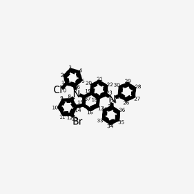 Clc1ccccc1N1c2cccc(Br)c2C2C=Cc3c(cccc3N(c3ccccc3)c3ccccc3)C21